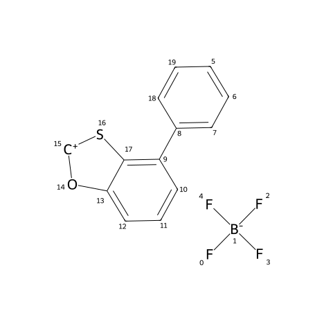 F[B-](F)(F)F.c1ccc(-c2cccc3o[cH+]sc23)cc1